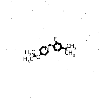 CC(C)OC1CCN(Cc2ccc(C(C)C)cc2F)CC1